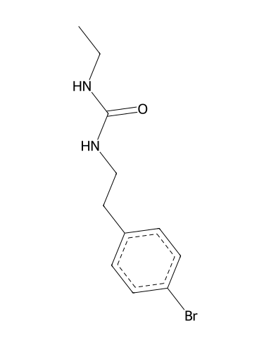 CCNC(=O)NCCc1ccc(Br)cc1